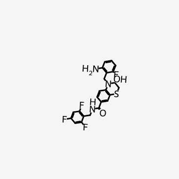 Nc1cccc(F)c1CN1c2ccc(C(=O)NCc3c(F)cc(F)cc3F)cc2SCC1O